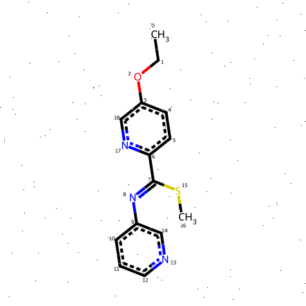 CCOc1ccc(C(=Nc2cccnc2)SC)nc1